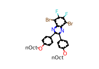 CCCCCCCCOc1ccc(-c2nc3c(Br)c(F)c(F)c(Br)c3nc2-c2ccc(OCCCCCCCC)cc2)cc1